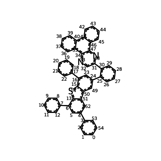 c1ccc(-c2cc(-c3ccccc3)c3sc4c(-c5ccccc5)cc(-c5ccccc5-c5cnc6c7ccccc7c7ccccc7c6n5)cc4c3c2)cc1